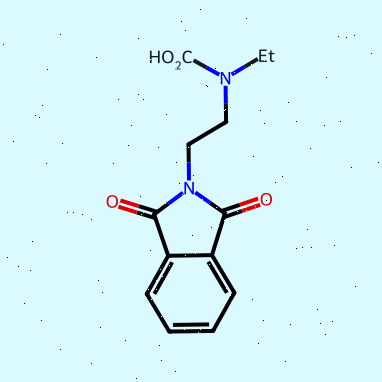 CCN(CCN1C(=O)c2ccccc2C1=O)C(=O)O